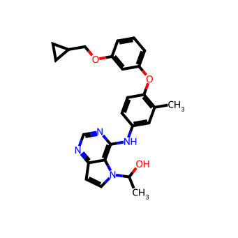 Cc1cc(Nc2ncnc3ccn(C(C)O)c23)ccc1Oc1cccc(OCC2CC2)c1